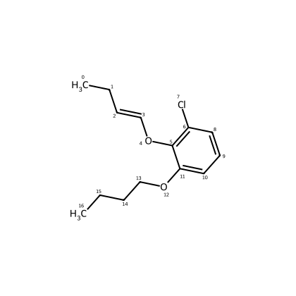 CCC=COc1c(Cl)cccc1OCCCC